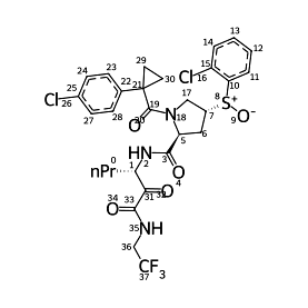 CCC[C@H](NC(=O)[C@@H]1C[C@@H]([S+]([O-])c2ccccc2Cl)CN1C(=O)C1(c2ccc(Cl)cc2)CC1)C(=O)C(=O)NCC(F)(F)F